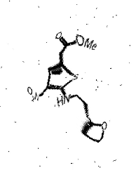 COC(=O)c1cc([N+](=O)[O-])c(NC[C@@H]2CCO2)s1